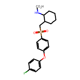 O=C(O)NC1CCCCC1CS(=O)(=O)c1ccc(Oc2ccc(F)cc2)cc1